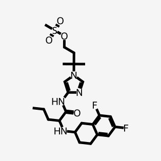 CCCC(NC1CCc2cc(F)cc(F)c2C1)C(=O)Nc1cn(C(C)(C)CCOS(C)(=O)=O)cn1